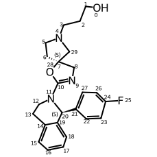 OCCCN1CC[C@@]2(CN=C(N3CCc4ccccc4[C@@H]3c3ccc(F)cc3)O2)C1